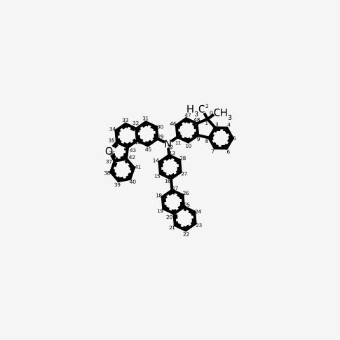 CC1(C)c2ccccc2-c2cc(N(c3ccc(-c4ccc5ccccc5c4)cc3)c3ccc4ccc5oc6ccccc6c5c4c3)ccc21